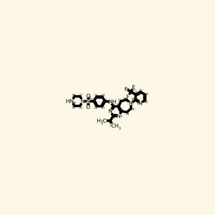 CC(C)c1nc2c(c(Nc3ccc(S(=O)(=O)N4CCNCC4)cc3)n1)CCN(c1ncccc1C(F)(F)F)CC2